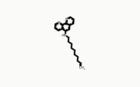 C=CCCCCCCCCNc1cc2cccnc2c2ncccc12